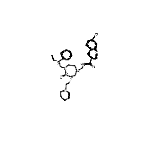 CC[C@H](CN1CC[C@@H](CNC(=O)c2ccc3cc(Cl)ccc3c2)C[C@H](CCN2CCCCC2)[N+]1=O)c1ccccc1